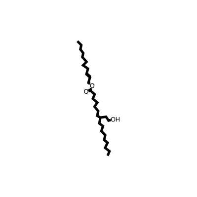 CCCCCCCCC=CCOC(=O)CCCCCCC(CCO)CCCCCCCCC